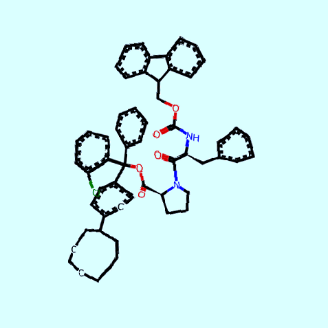 O=C(N[C@@H](Cc1ccccc1)C(=O)N1CCC[C@H]1C(=O)OC(c1ccccc1)(c1ccc(C2CCCCCCCC2)cc1)c1ccccc1Cl)OCC1c2ccccc2-c2ccccc21